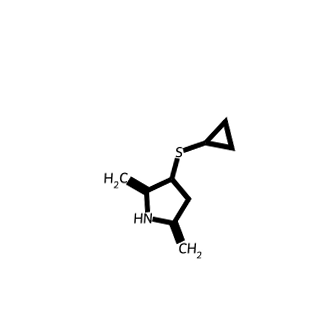 C=C1CC(SC2CC2)C(=C)N1